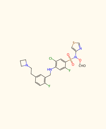 O=CON(c1cscn1)S(=O)(=O)c1cc(Cl)c(NCc2cc(CCN3CCC3)ccc2F)cc1F